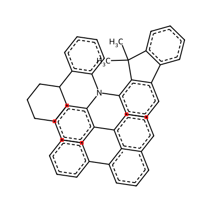 CC1(C)c2ccccc2-c2cccc(N(c3ccccc3-c3cccc4cccc(-c5ccccc5)c34)c3ccccc3C3CCCCC3)c21